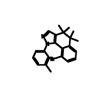 Cc1cccc(-n2ncc3c2-c2c(Br)cccc2C(C)(C)C3(C)C)c1